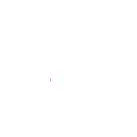 CC(O)c1cc(F)cc(F)c1Br